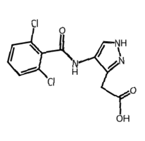 O=C(O)Cc1n[nH]cc1NC(=O)c1c(Cl)cccc1Cl